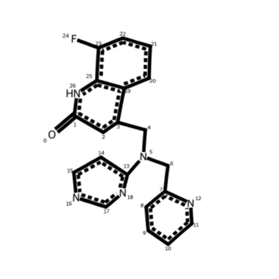 O=c1cc(CN(Cc2ccccn2)c2ccncn2)c2cccc(F)c2[nH]1